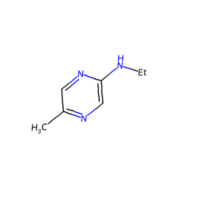 CCNc1cnc(C)cn1